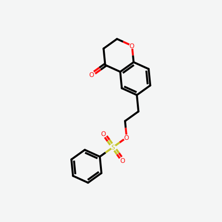 O=C1CCOc2ccc(CCOS(=O)(=O)c3ccccc3)cc21